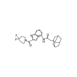 O=C(CC12CC3CC(CC(C3)C1)C2)Nc1cccc2nc(C(=O)N3CCC(F)(F)CC3)cn12